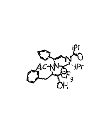 CC(=O)N(C(Cc1ccccc1)C(O)C(F)(F)F)N1C(=O)[C@@H](C(C)C)N(C(=O)C(C)C)C=C1c1ccccc1